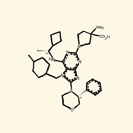 CSC1(C(=O)O)CCN(c2nc(N[C@H](C)C3CCC3)c3c(n2)nc(N2CCOC[C@H]2c2ccccc2)n3CC2CCC(C)CC2)C1